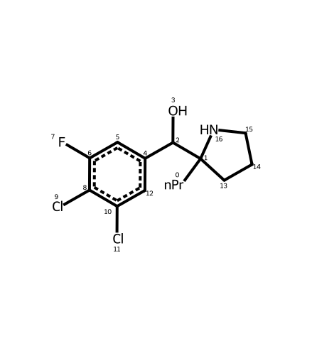 CCCC1(C(O)c2cc(F)c(Cl)c(Cl)c2)CCCN1